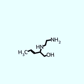 CC=CC(CO)NCCN